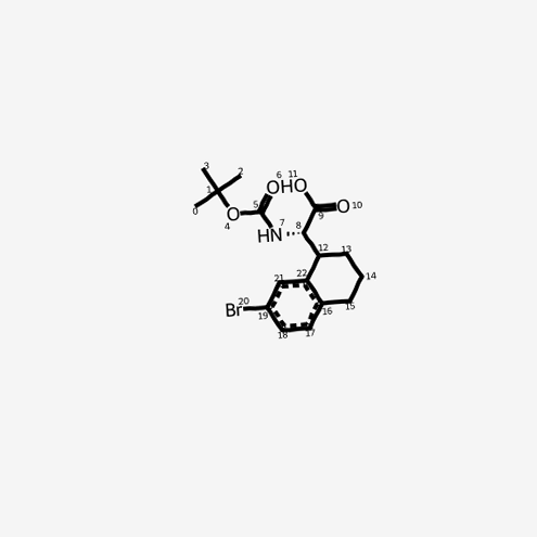 CC(C)(C)OC(=O)N[C@H](C(=O)O)C1CCCc2ccc(Br)cc21